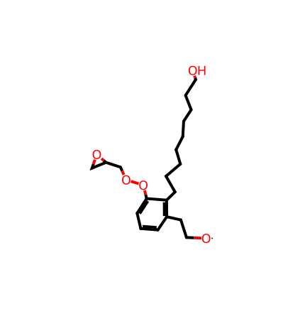 [O]CCc1cccc(OOCC2CO2)c1CCCCCCCCCO